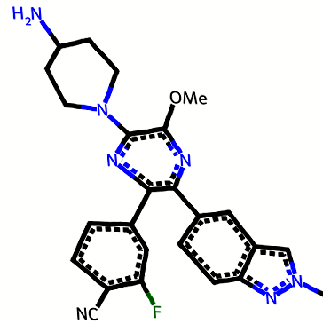 COc1nc(-c2ccc3nn(C)cc3c2)c(-c2ccc(C#N)c(F)c2)nc1N1CCC(N)CC1